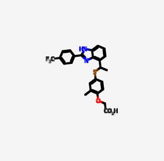 Cc1cc(SC(C)c2cccc3[nH]c(-c4ccc(C(F)(F)F)cc4)nc23)ccc1OCC(=O)O